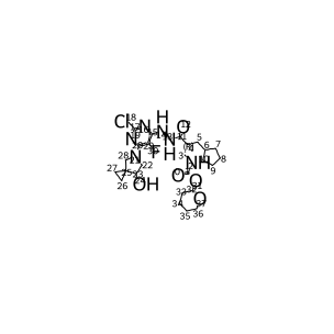 O=C(NC[C@@H](CC1CCCC1)C(=O)NNc1nc(Cl)nc(N2CC(O)C3(CC3)C2)c1F)OC1CCCCO1